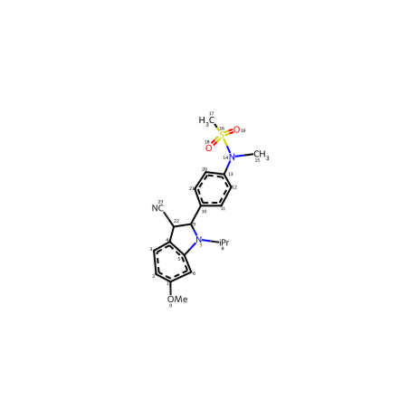 COc1ccc2c(c1)N(C(C)C)C(c1ccc(N(C)S(C)(=O)=O)cc1)C2C#N